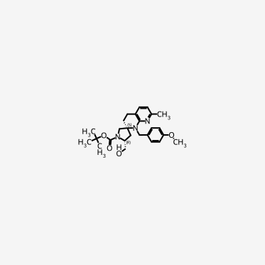 COc1ccc(CN2c3nc(C)ccc3CC[C@@]23C[C@H](CO)N(C(=O)OC(C)(C)C)C3)cc1